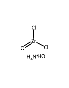 [NH4+].[OH-].[O]=[Zr]([Cl])[Cl]